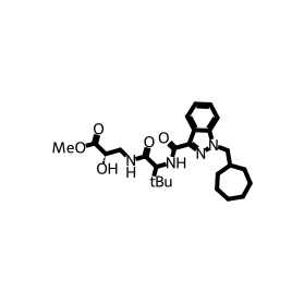 COC(=O)[C@@H](O)CNC(=O)C(NC(=O)c1nn(CC2CCCCCC2)c2ccccc12)C(C)(C)C